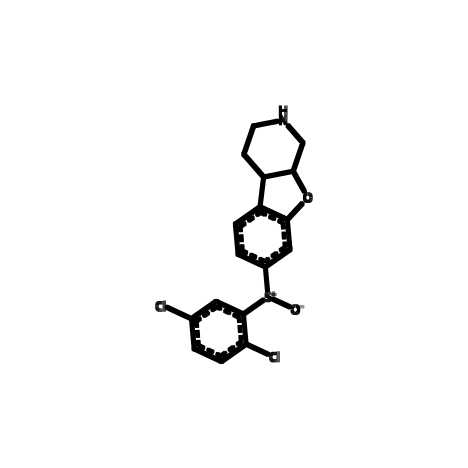 [O-][S+](c1ccc2c(c1)OC1CNCCC21)c1cc(Cl)ccc1Cl